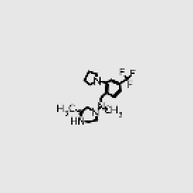 C[C@H]1CN(N(C)Cc2ccc(C(F)(F)F)cc2N2CCCC2)CCN1